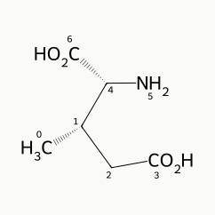 C[C@@H](CC(=O)O)[C@@H](N)C(=O)O